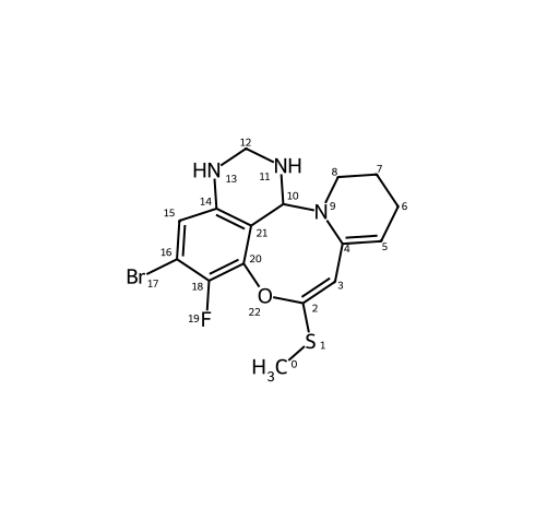 CSC1=CC2=CCCCN2C2NCNc3cc(Br)c(F)c(c32)O1